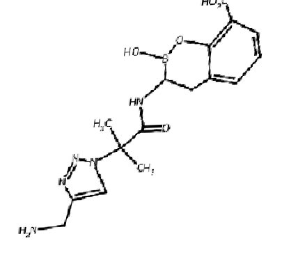 CC(C)(C(=O)NC1Cc2cccc(C(=O)O)c2OB1O)n1cc(CN)nn1